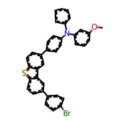 COc1cccc(N(c2ccccc2)c2ccc(-c3ccc4sc5ccc(-c6ccc(Br)cc6)cc5c4c3)cc2)c1